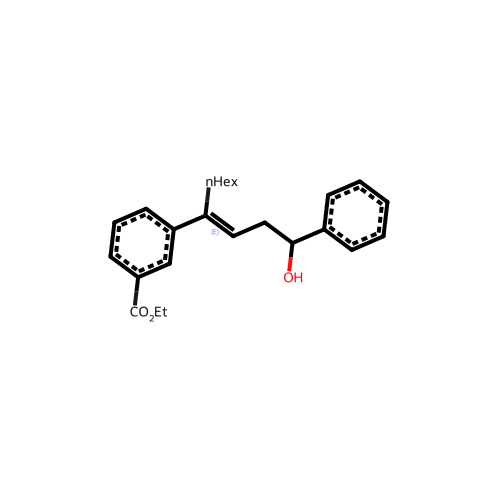 CCCCCC/C(=C\CC(O)c1ccccc1)c1cccc(C(=O)OCC)c1